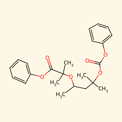 CC(CC(C)(C)OC(=O)Oc1ccccc1)OC(C)(C)C(=O)Oc1ccccc1